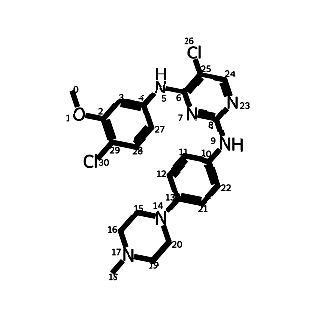 COc1cc(Nc2nc(Nc3ccc(N4CCN(C)CC4)cc3)ncc2Cl)ccc1Cl